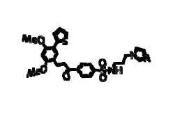 COc1cc(OC)c(-c2cccs2)cc1C=CC(=O)c1ccc(S(=O)(=O)NCCCn2ccnc2)cc1